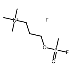 C[N+](C)(C)CCCOP(C)(=O)F.[I-]